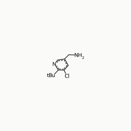 CC(C)(C)c1ncc(CN)cc1Cl